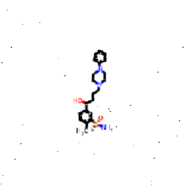 Cc1ccc(C(O)CCCN2CCN(c3ccccc3)CC2)cc1S(N)(=O)=S